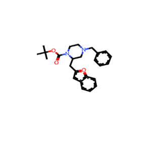 CC(C)(C)OC(=O)N1CCN(Cc2ccccc2)CC1Cc1cc2ccccc2o1